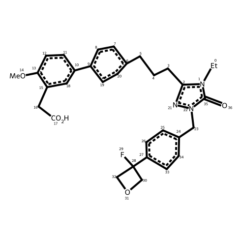 CCn1c(CCCc2ccc(-c3ccc(OC)c(CC(=O)O)c3)cc2)nn(Cc2ccc(C3(F)COC3)cc2)c1=O